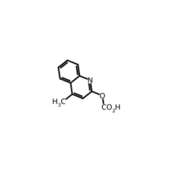 Cc1cc(OC(=O)O)nc2ccccc12